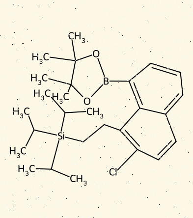 CC(C)[Si](CCc1c(Cl)ccc2cccc(B3OC(C)(C)C(C)(C)O3)c12)(C(C)C)C(C)C